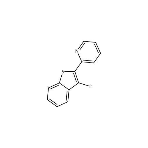 [Ir][c]1c(-c2ccccn2)sc2ccccc12